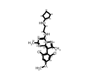 COc1cc(Cl)c(-c2c(C)nn3c(NCCNC4CCCC4)nc(C)nc23)c(Cl)c1